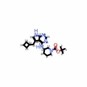 CC(C)(C)OC(=O)N1CCCC(Nc2ncnc3[nH]cc(CC4CCC4)c23)C1